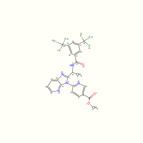 COC(=O)c1ccc(-n2c(C(C)NC(=O)c3cc(C(F)(F)F)cc(C(F)(F)F)c3)nc3cccnc32)nc1